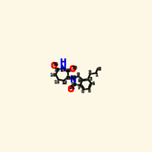 CCCc1cccc2c1CN(C1CCCC(=O)NC1=O)C2=O